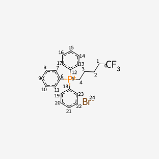 FC(F)(F)CCCC[P+](c1ccccc1)(c1ccccc1)c1ccccc1.[Br-]